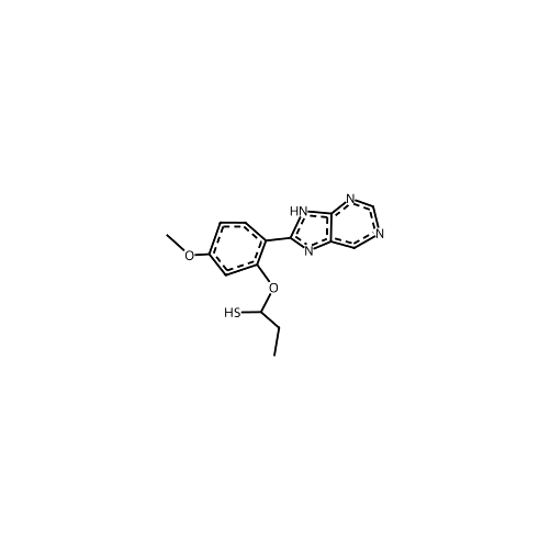 CCC(S)Oc1cc(OC)ccc1-c1nc2cncnc2[nH]1